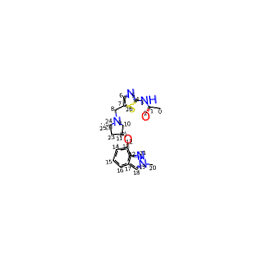 CC(=O)Nc1ncc(CN2C[C@H](Oc3cccc4cn(C)nc34)C[C@@H]2C)s1